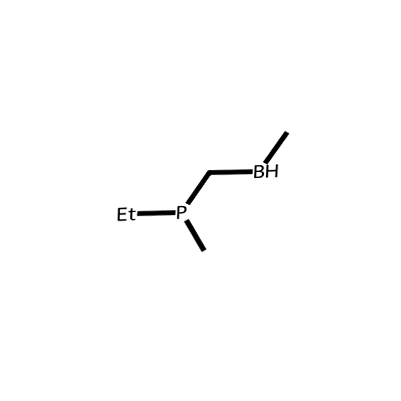 CBCP(C)CC